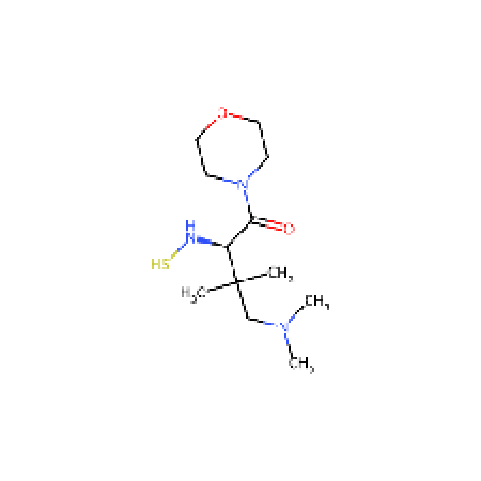 CN(C)CC(C)(C)[C@@H](NS)C(=O)N1CCOCC1